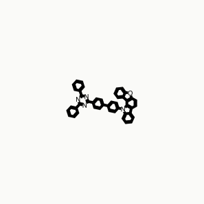 c1ccc(-c2nc(-c3ccccc3)nc(-c3ccc(-c4ccc(-n5c6ccccc6c6ccc7oc8ccccc8c7c65)cc4)cc3)n2)cc1